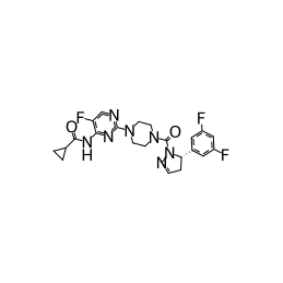 O=C(Nc1nc(N2CCN(C(=O)N3N=CC[C@H]3c3cc(F)cc(F)c3)CC2)ncc1F)C1CC1